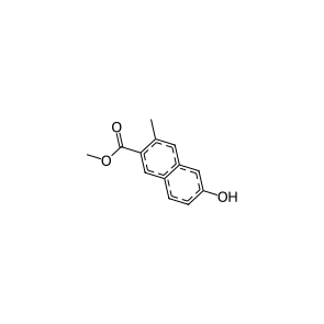 COC(=O)c1cc2ccc(O)cc2cc1C